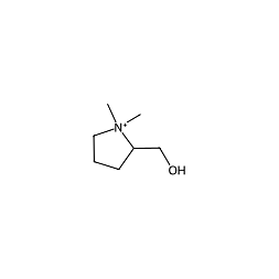 C[N+]1(C)CCCC1CO